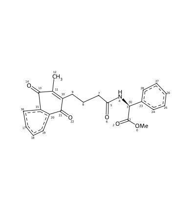 COC(=O)[C@@H](NC(=O)CCCC1=C(C)C(=O)c2ccccc2C1=O)c1ccccc1